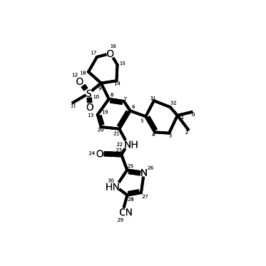 CC1(C)CC=C(c2cc(C3(S(C)(=O)=O)CCOCC3)ccc2NC(=O)c2ncc(C#N)[nH]2)CC1